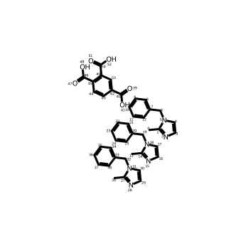 Cc1nccn1Cc1ccccc1.Cc1nccn1Cc1ccccc1.Cc1nccn1Cc1ccccc1.O=C(O)c1ccc(C(=O)O)c(C(=O)O)c1